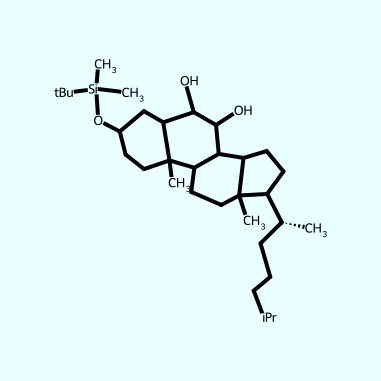 CC(C)CCC[C@@H](C)C1CCC2C3C(O)C(O)C4CC(O[Si](C)(C)C(C)(C)C)CCC4(C)C3CCC21C